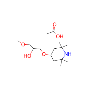 CC(=O)O.COCC(O)COC1CC(C)(C)NC(C)(C)C1